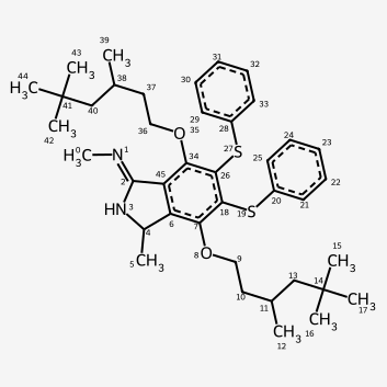 C/N=C1\NC(C)c2c(OCCC(C)CC(C)(C)C)c(Sc3ccccc3)c(Sc3ccccc3)c(OCCC(C)CC(C)(C)C)c21